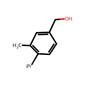 Cc1cc(CO)ccc1C(C)C